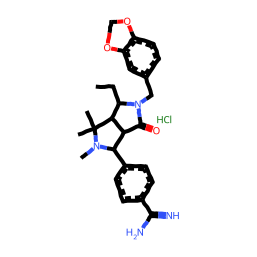 CCC1C2C(C(=O)N1Cc1ccc3c(c1)OCO3)C(c1ccc(C(=N)N)cc1)N(C)C2(C)C.Cl